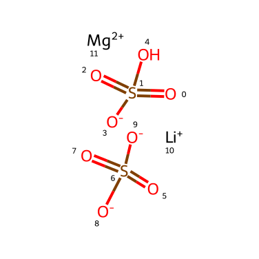 O=S(=O)([O-])O.O=S(=O)([O-])[O-].[Li+].[Mg+2]